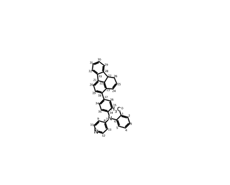 Cc1ccccc1N(c1ccncc1)c1ccc(-c2ccc3c4c2C=CCC4c2ccccc2-3)cc1